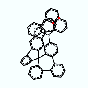 c1ccc(-c2ccccc2N(c2ccccc2)c2ccc3c(c2)C2(c4ccccc4-c4ccccc4-3)c3ccccc3-c3cc4sc5ccccc5c4cc32)cc1